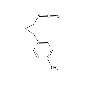 Cc1ccc(C2CC2N=C=O)cc1